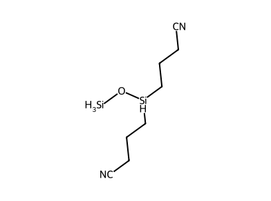 N#CCCC[SiH](CCCC#N)O[SiH3]